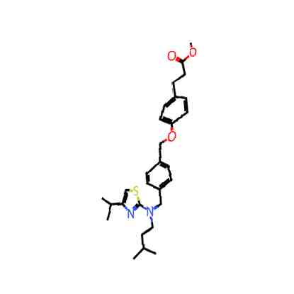 COC(=O)CCc1ccc(OCc2ccc(CN(CCC(C)C)c3nc(C(C)C)cs3)cc2)cc1